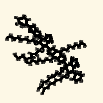 CCCCCCCCOc1c(OCCCCCCCC)c(-c2cc3c(CCCCCCCC)c4sc(-c5c(OCCCCCCCC)c(OCCCCCCCC)c(-c6cc7sc(-c8ccccc8)cc7s6)c6nsnc56)cc4c(CCCCCCCC)c3s2)c2nsnc2c1-c1ccccc1